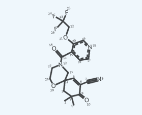 CC1(C)CC2(C=C(C#N)C1=O)CN(C(=O)c1ccncc1OCC(F)(F)F)CCO2